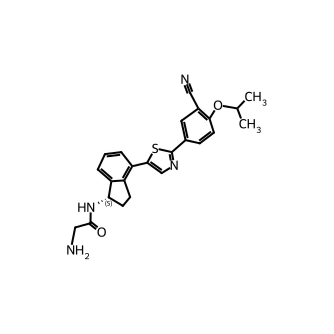 CC(C)Oc1ccc(-c2ncc(-c3cccc4c3CC[C@@H]4NC(=O)CN)s2)cc1C#N